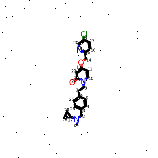 CN(Cc1ccc(CCn2ccc(OCc3ccc(Cl)cn3)cc2=O)cc1)C1CC1